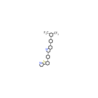 FC(F)(F)c1cc(-c2ccc(-c3ccc4cc(-c5ccc(-c6cccc7c6sc6ncccc67)cc5)cnc4c3)cc2)cc(C(F)(F)F)c1